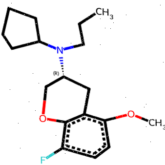 CCCN(C1CCCC1)[C@H]1COc2c(F)ccc(OC)c2C1